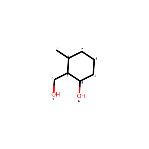 CC1CCCC(O)C1CO